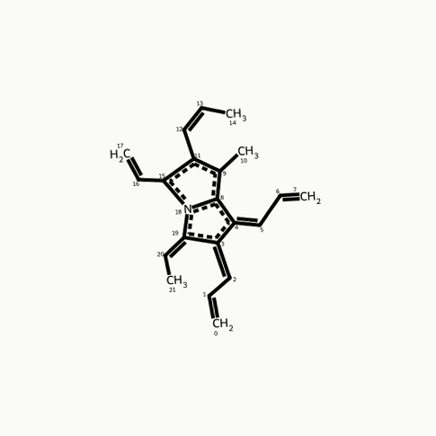 C=C/C=c1c(=C/C=C)/c2c(C)c(/C=C\C)c(C=C)n2c/1=C/C